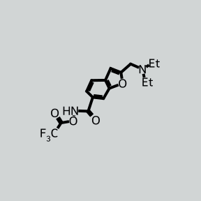 CCN(CC)Cc1cc2ccc(C(=O)NOC(=O)C(F)(F)F)cc2o1